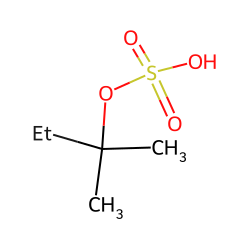 CCC(C)(C)OS(=O)(=O)O